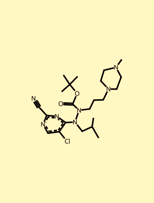 CC(C)CN(c1nc(C#N)ncc1Cl)N(CCCN1CCN(C)CC1)C(=O)OC(C)(C)C